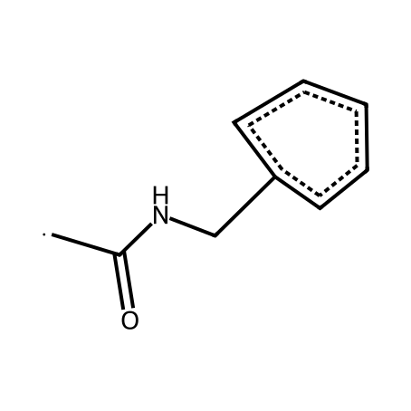 [CH2]C(=O)NCc1ccccc1